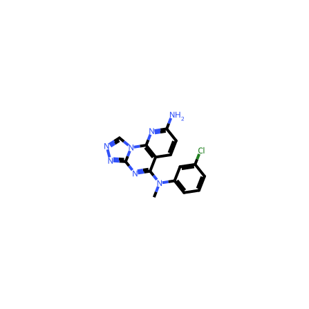 CN(c1cccc(Cl)c1)c1nc2nncn2c2nc(N)ccc12